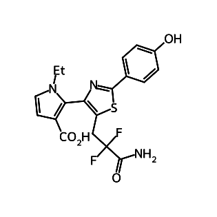 CCn1ccc(C(=O)O)c1-c1nc(-c2ccc(O)cc2)sc1CC(F)(F)C(N)=O